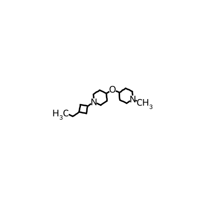 CCC1CC(N2CCC(OC3CCN(C)CC3)CC2)C1